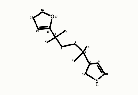 CC(C)(CCC(C)(C)C1C=CSC1)C1=CCCO1